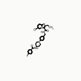 CCc1nc2ccc(Cl)cn2c1C(=O)NCc1ccc(N2CCC(NC(=O)c3ccc(F)cc3)CC2)cc1